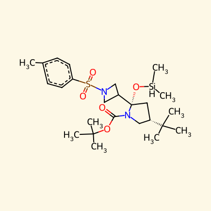 Cc1ccc(S(=O)(=O)N2CC([C@@]3(O[SiH](C)C)C[C@H](C(C)(C)C)CN3C(=O)OC(C)(C)C)C2)cc1